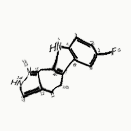 Fc1ccc2[nH]c3c(c2c1)CCc1c[nH]nc1-3